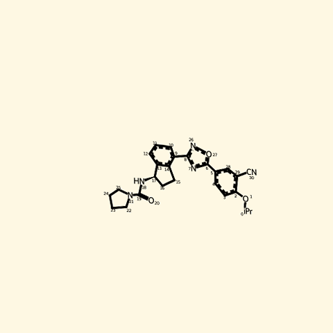 CC(C)Oc1ccc(-c2nc(-c3cccc4c3CC[C@H]4NC(=O)N3CCCC3)no2)cc1C#N